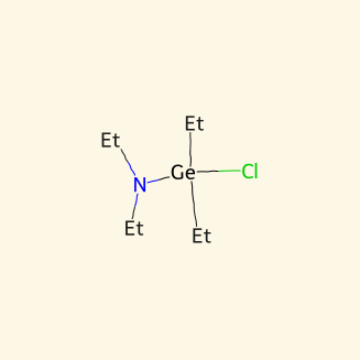 CC[N](CC)[Ge]([Cl])([CH2]C)[CH2]C